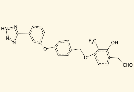 O=CCc1ccc(OCc2ccc(Oc3cccc(-c4nn[nH]n4)c3)cc2)c(C(F)(F)F)c1O